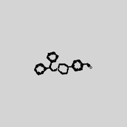 O=Cc1ccc(C2CCN(CC(c3ccccc3)c3ccccc3)CC2)cc1